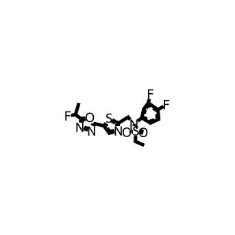 CCS(=O)(=O)N(Cc1ncc(-c2nnc(C(C)F)o2)s1)c1ccc(F)c(F)c1